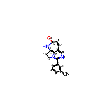 N#Cc1cccc(C2=NC=C3C=CC(=O)NC4=C3N2CC4)c1